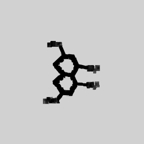 CCCCCCCCCc1cc(S(=O)(=O)O)c2c(S(=O)(=O)O)cc(CCCCCCCCC)cc2c1